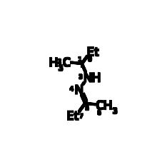 CC[C](C)NN=C(C)CC